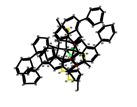 Cc1ccc(C2=Cc3c(-c4ccccc4)cccc3[C]23[SiH](C)[C]2(C(c4ccc(C)s4)=Cc4c(-c5ccccc5)cccc42)[Zr]32([Cl])([Cl])[C]3(C(c4ccc(C)s4)=Cc4c(-c5ccccc5)cccc43)[SiH](C)[C]23C(c2ccc(C)s2)=Cc2c(-c4ccccc4)cccc23)s1